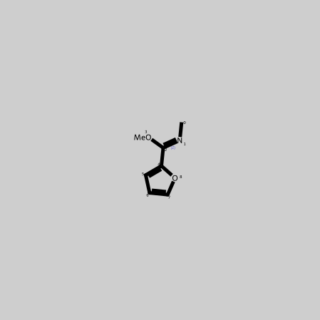 C/N=C(\OC)c1ccco1